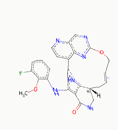 COc1c(F)cccc1Nc1c2[nH]c3c1C(=O)NC[C@H]3C/C=C/COc1ncc3nccc-2c3n1